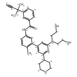 Cc1ccc(NC(=O)c2ccnc(C(C)(C)C#N)c2)cc1-c1cc(C2CCOCC2)nc(N(CCO)CCO)c1